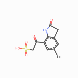 Cc1cc2c(c(C(=O)CS(=O)(=O)O)c1)NC(=O)C2